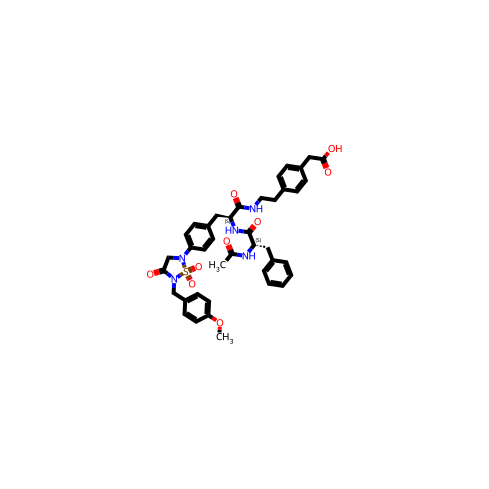 COc1ccc(CN2C(=O)CN(c3ccc(C[C@H](NC(=O)[C@H](Cc4ccccc4)NC(C)=O)C(=O)NCCc4ccc(CC(=O)O)cc4)cc3)S2(=O)=O)cc1